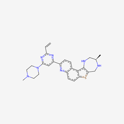 C=Cc1nc(-c2ccc3c(ccc4sc5c(c43)NC[C@@H](C)NC5)n2)cc(N2CCN(C)CC2)n1